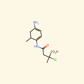 CC1CC(N)=CC=C1NC(=O)CC(C)(Cl)C(=O)O